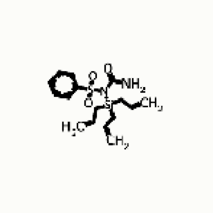 C=CC[Si](CC=C)(CC=C)N(C(N)=O)S(=O)(=O)c1ccccc1